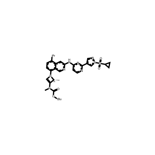 CC(C)c1ccc(N2C=C(N(C)C(=O)OC(C)(C)C)[C@H]2C)c2cnc(Nc3ccnc(-c4cnn(S(=O)(=O)C5CC5)c4)n3)cc12